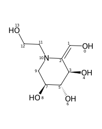 O/C=C1\[C@@H](O)[C@H](O)[C@@H](O)CN1CCO